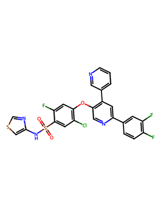 O=S(=O)(Nc1cscn1)c1cc(Cl)c(Oc2cnc(-c3ccc(F)c(F)c3)cc2-c2cccnc2)cc1F